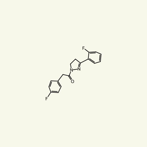 O=C(Cc1ccc(F)cc1)N1CCC(c2ccccc2F)=N1